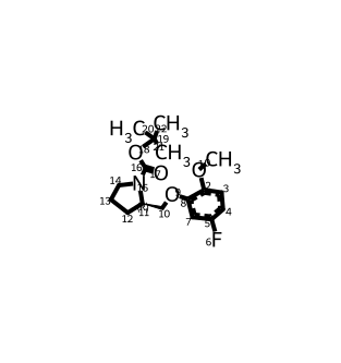 COc1ccc(F)cc1OC[C@H]1CCCN1C(=O)OC(C)(C)C